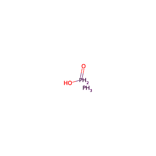 O=[PH2]O.P